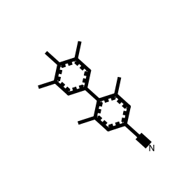 Cc1cc(-c2c(C)cc(C#N)cc2C)cc(C)c1C